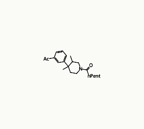 CCCCCC(=O)N1CCC(C)(c2cccc(C(C)=O)c2)C(C)C1